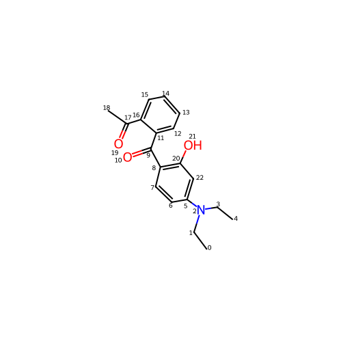 CCN(CC)c1ccc(C(=O)c2ccccc2C(C)=O)c(O)c1